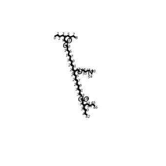 CCCCC(CCCC)CC(=O)OCCCCCCCCCCC(CCCCCCCCCCOC(=O)CC(CCCC)CCCC)COCCCN(C)C